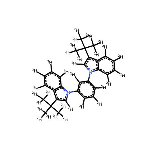 [2H]c1c([2H])c(-n2c([2H])c(C(C([2H])([2H])[2H])(C([2H])([2H])[2H])C([2H])([2H])[2H])c3c([2H])c([2H])c([2H])c([2H])c32)c([2H])c(-n2c([2H])c(C(C([2H])([2H])[2H])(C([2H])([2H])[2H])C([2H])([2H])[2H])c3c([2H])c([2H])c([2H])c([2H])c32)c1[2H]